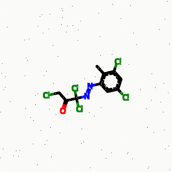 Cc1c(Cl)cc(Cl)cc1N=NC(Cl)(Cl)C(=O)CCl